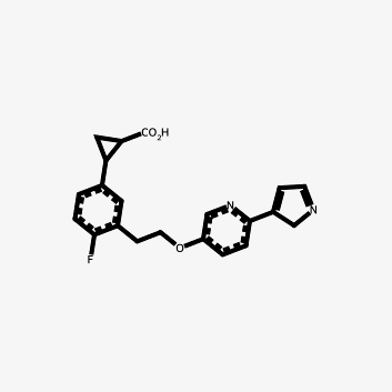 O=C(O)C1CC1c1ccc(F)c(CCOc2ccc(C3=CC=NC3)nc2)c1